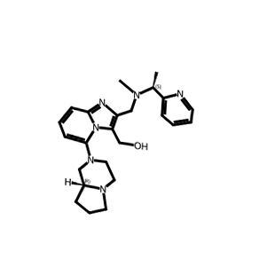 C[C@@H](c1ccccn1)N(C)Cc1nc2cccc(N3CCN4CCC[C@@H]4C3)n2c1CO